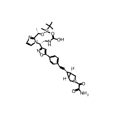 C[C@H](O[Si](C)(C)C(C)(C)C)c1nccn1[C@H](CNC(=O)O)c1cc(-c2ccc(C#C[C@H]3[C@H]4CN(C(=O)C(N)=O)C[C@@H]34)cc2)on1